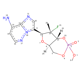 COP1(=O)OC[C@H]2O[C@@H](c3cnc4c(N)ccnn34)[C@](C)(F)[C@@H]2O1